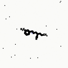 CCCC(C#N)C/N=C/c1cccc(C)c1